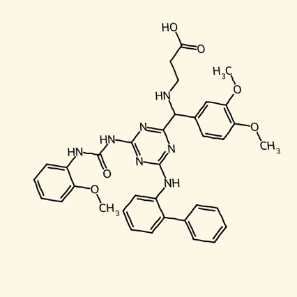 COc1ccccc1NC(=O)Nc1nc(Nc2ccccc2-c2ccccc2)nc(C(NCCC(=O)O)c2ccc(OC)c(OC)c2)n1